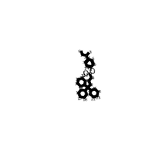 CCC(C)c1ccc(OC(CCCC(C2CCCCC2)(C2CCCCC2)C2CCCCC2)OC)cc1